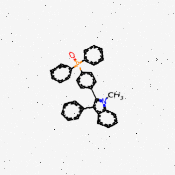 Cn1c(-c2ccc(P(=O)(c3ccccc3)c3ccccc3)cc2)c(-c2ccccc2)c2ccccc21